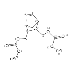 CCCOC(=O)OCC1C2C=CC(C2)C1COC(=O)OCCC